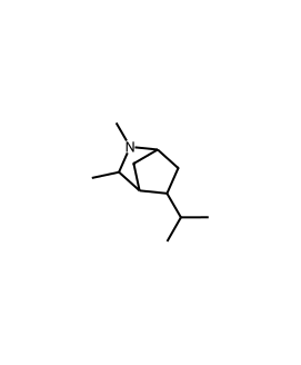 CC(C)C1CC2CC1C(C)N2C